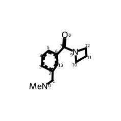 CNCc1cccc(C(=O)N2CCC2)c1